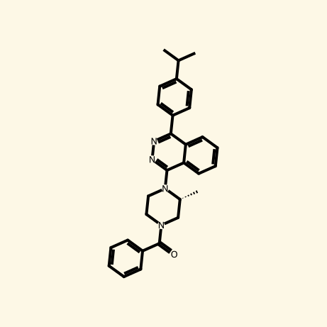 CC(C)c1ccc(-c2nnc(N3CCN(C(=O)c4ccccc4)C[C@H]3C)c3ccccc23)cc1